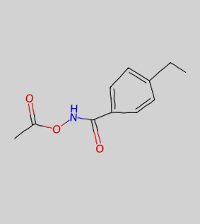 CCc1ccc(C(=O)NOC(C)=O)cc1